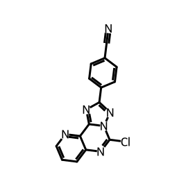 N#Cc1ccc(-c2nc3c4ncccc4nc(Cl)n3n2)cc1